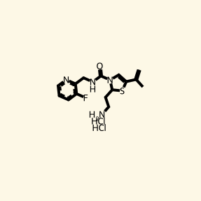 C=C(C)C1=CN(C(=O)NCc2ncccc2F)C(CCN)S1.Cl.Cl